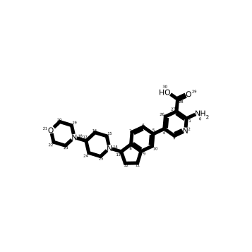 Nc1ncc(-c2ccc3c(c2)CCC3N2CCC(N3CCOCC3)CC2)cc1C(=O)O